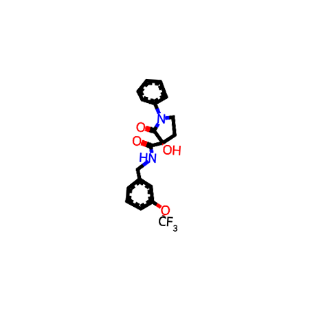 O=C(NCc1cccc(OC(F)(F)F)c1)[C@@]1(O)CCN(c2ccccc2)C1=O